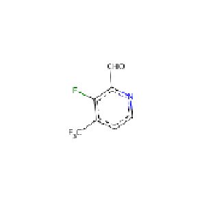 O=Cc1nccc(C(F)(F)F)c1F